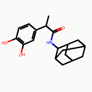 CC(C(=O)NC1C2CC3CC(C2)CC1C3)c1ccc(O)c(O)c1